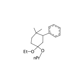 CCCOC1(OCC)CCC(C)(C)C(c2ccccc2)C1